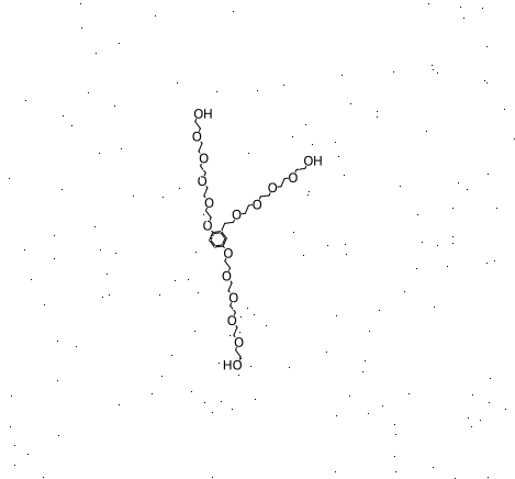 OCCOCCOCCOCCOCCOc1ccc(OCCOCCOCCOCCOCCO)c(CCOCCOCCOCCOCCO)c1